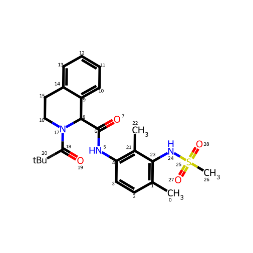 Cc1ccc(NC(=O)C2c3ccccc3CCN2C(=O)C(C)(C)C)c(C)c1NS(C)(=O)=O